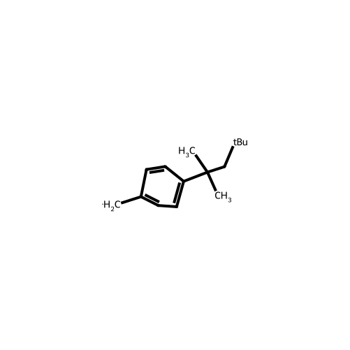 [CH2]c1ccc(C(C)(C)CC(C)(C)C)cc1